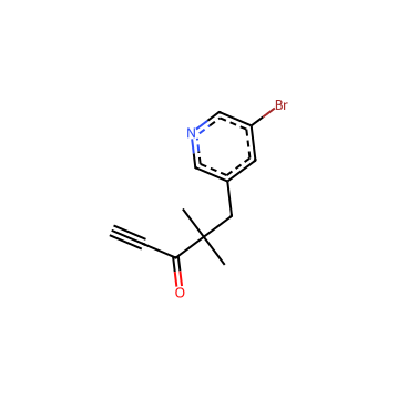 C#CC(=O)C(C)(C)Cc1cncc(Br)c1